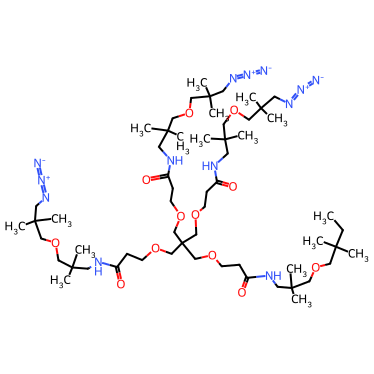 CCC(C)(C)COCC(C)(C)CNC(=O)CCOCC(COCCC(=O)NCC(C)(C)COCC(C)(C)CN=[N+]=[N-])(COCCC(=O)NCC(C)(C)COCC(C)(C)CN=[N+]=[N-])COCCC(=O)NCC(C)(C)COCC(C)(C)CN=[N+]=[N-]